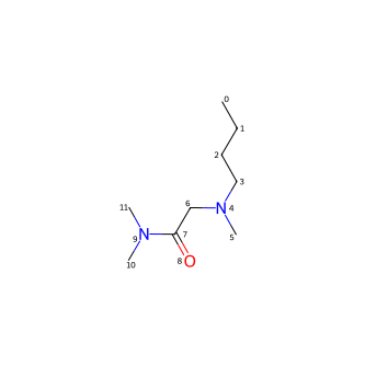 CCCCN(C)CC(=O)N(C)C